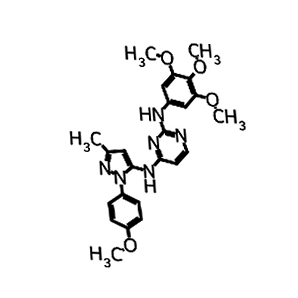 COc1ccc(-n2nc(C)cc2Nc2ccnc(Nc3cc(OC)c(OC)c(OC)c3)n2)cc1